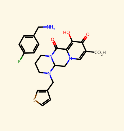 NCc1ccc(F)cc1.O=C(O)c1cn2c(c(O)c1=O)C(=O)N1CCCN(Cc3ccsc3)C1C2